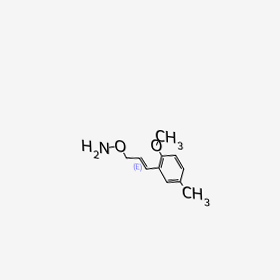 COc1ccc(C)cc1/C=C/CON